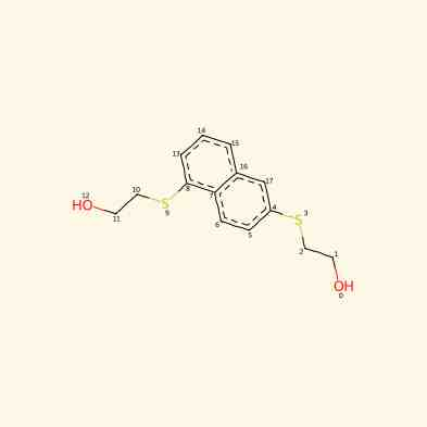 OCCSc1ccc2c(SCCO)cccc2c1